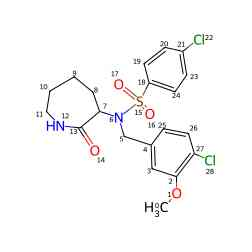 COc1cc(CN(C2CCCCNC2=O)S(=O)(=O)c2ccc(Cl)cc2)ccc1Cl